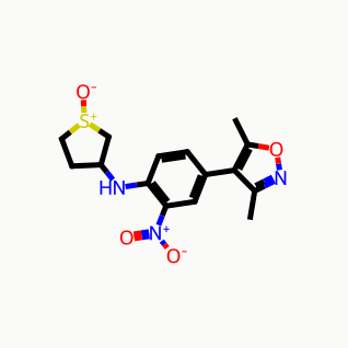 Cc1noc(C)c1-c1ccc(NC2CC[S+]([O-])C2)c([N+](=O)[O-])c1